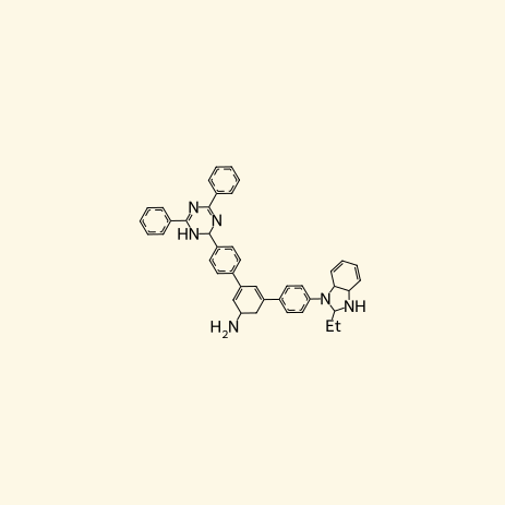 CCC1NC2C=CC=CC2N1c1ccc(C2=CC(c3ccc(C4N=C(c5ccccc5)N=C(c5ccccc5)N4)cc3)=CC(N)C2)cc1